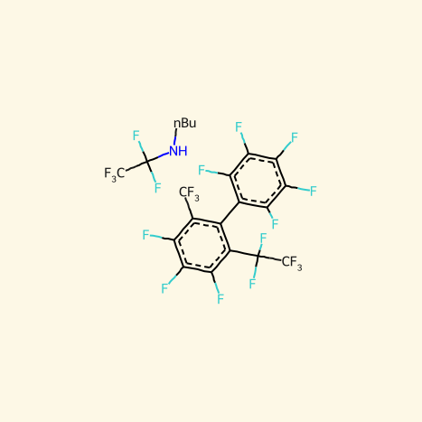 CCCCNC(F)(F)C(F)(F)F.Fc1c(F)c(F)c(-c2c(C(F)(F)F)c(F)c(F)c(F)c2C(F)(F)C(F)(F)F)c(F)c1F